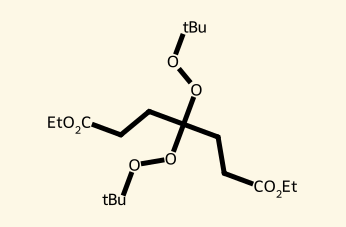 CCOC(=O)CCC(CCC(=O)OCC)(OOC(C)(C)C)OOC(C)(C)C